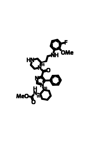 COC(=O)N[C@H]1CCCC[C@@H]1n1cnc(C(=O)N2CCNC[C@H]2CCNc2cccc(F)c2OC)c1-c1ccccc1